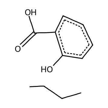 CCCC.O=C(O)c1ccccc1O